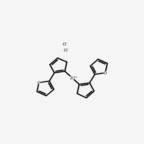 C1=CC(c2ccco2)=[C]([Zr+2][C]2=C(c3ccco3)C=CC2)C1.[Cl-].[Cl-]